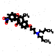 CCCCN(CCCC)CCCOc1ccc(C(=O)c2c(CC)oc3ccc([N+](=O)[O-])cc23)cc1